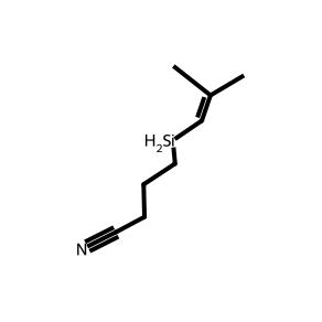 CC(C)=C[SiH2]CCCC#N